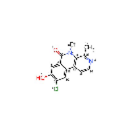 CCn1c(=O)c2cc(O)c(Cl)cc2c2ccnc(C)c21